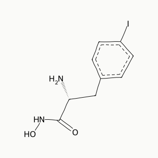 N[C@H](Cc1ccc(I)cc1)C(=O)NO